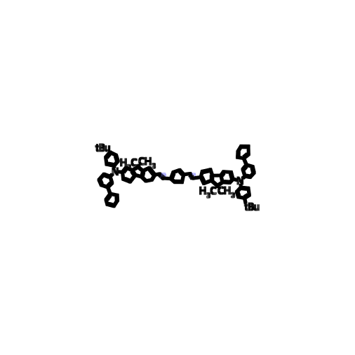 CC(C)(C)c1ccc(N(c2cccc(-c3ccccc3)c2)c2ccc3c(c2)C(C)(C)C2=C3CCC(/C=C/c3ccc(/C=C/c4ccc5c(c4)C(C)(C)c4cc(N(c6ccc(C(C)(C)C)cc6)c6cccc(-c7ccccc7)c6)ccc4-5)cc3)=C2)cc1